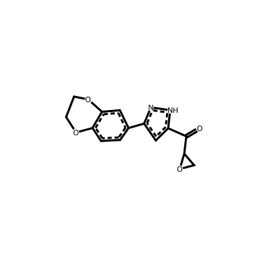 O=C(c1cc(-c2ccc3c(c2)OCCO3)n[nH]1)C1CO1